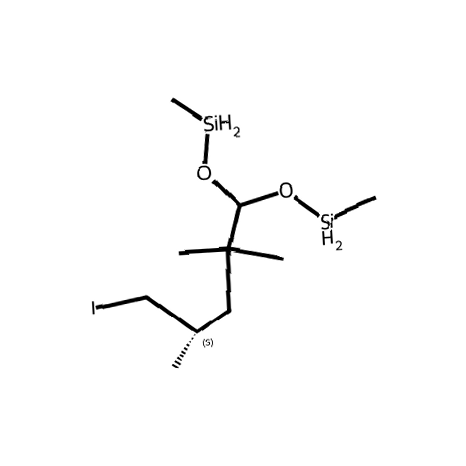 C[SiH2]OC(O[SiH2]C)C(C)(C)C[C@H](C)CI